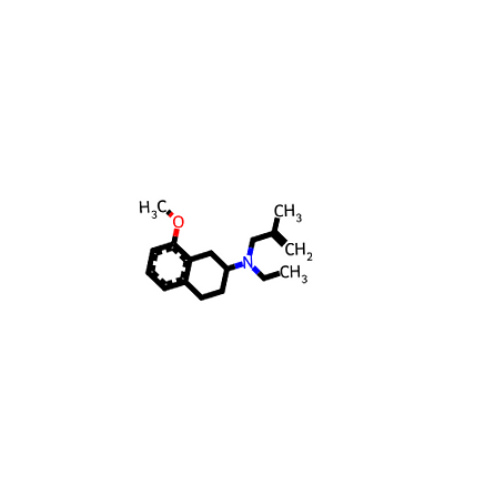 C=C(C)CN(CC)C1CCc2cccc(OC)c2C1